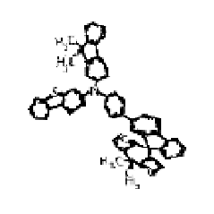 CC1(C)c2ccccc2-c2ccc(N(c3ccc(-c4ccc5c(c4)C4(c6ccccc6-5)c5ccccc5C(C)(C)c5ccccc54)cc3)c3ccc4c(c3)sc3ccccc34)cc21